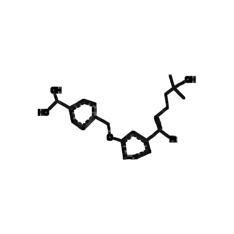 CCC(=CCCC(C)(C)O)c1cccc(OCc2ccc(C(O)O)cc2)c1